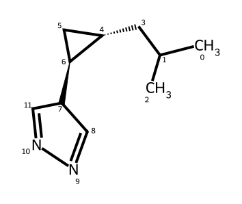 CC(C)C[C@H]1C[C@@H]1C1C=NN=C1